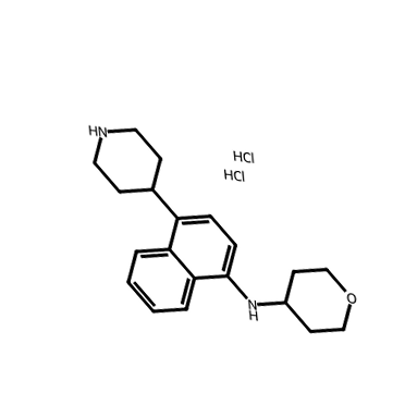 Cl.Cl.c1ccc2c(C3CCNCC3)ccc(NC3CCOCC3)c2c1